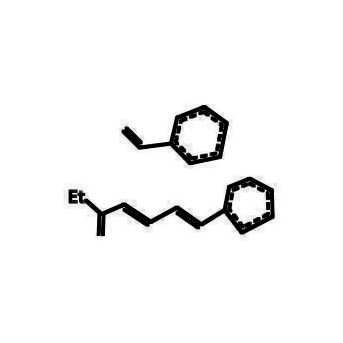 C=C(C=CC=Cc1ccccc1)CC.C=Cc1ccccc1